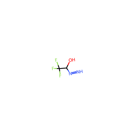 N=NC(O)C(F)(F)F